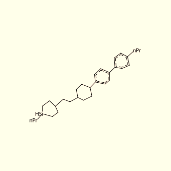 CCCc1ccc(-c2ccc(C3CCC(CCC4CC[SiH](CCC)CC4)CC3)cc2)cc1